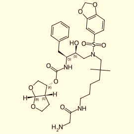 CC(C)(CCCCNC(=O)CN)CN(C[C@H](O)[C@H](Cc1ccccc1)NC(=O)O[C@H]1CO[C@H]2OCC[C@H]21)S(=O)(=O)c1ccc2c(c1)OCO2